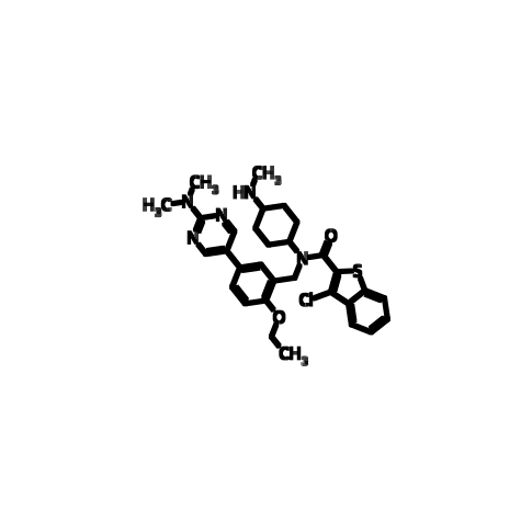 CCOc1ccc(-c2cnc(N(C)C)nc2)cc1CN(C(=O)c1sc2ccccc2c1Cl)C1CCC(NC)CC1